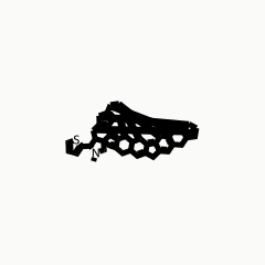 CN1CC23C=C4CC5C=C6Cc7cc8c9c%10c%11c%12c%13c(c6c7c9%12)C5c5c4c2c2c4c(cc6c(c4c%11c2c5%13)C%10C(C=6)C8)C3C1c1cccs1